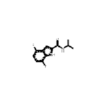 CC(C)NC(=O)c1cc2c(F)ccc(F)c2[nH]1